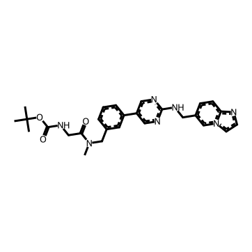 CN(Cc1cccc(-c2cnc(NCc3ccc4nccn4c3)nc2)c1)C(=O)CNC(=O)OC(C)(C)C